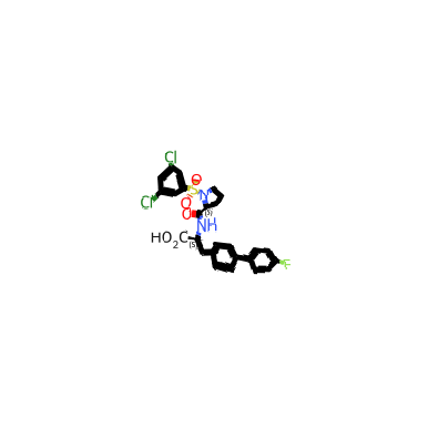 O=C(O)[C@H](Cc1ccc(-c2ccc(F)cc2)cc1)NC(=O)[C@@H]1CCCN1S(=O)(=O)c1cc(Cl)cc(Cl)c1